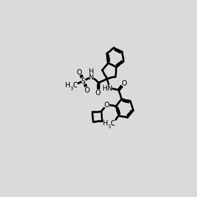 Cc1cccc(C(=O)NC2(C(=O)NS(C)(=O)=O)Cc3ccccc3C2)c1OC1CCC1